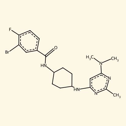 Cc1nc(NC2CCC(NC(=O)c3ccc(F)c(Br)c3)CC2)cc(N(C)C)n1